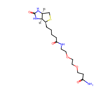 NC(=O)CCOCCOCCNC(=O)CCCC[C@@H]1SC[C@@H]2NC(=O)N[C@@H]21